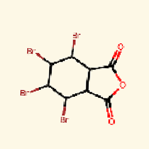 O=C1OC(=O)C2C(Br)C(Br)C(Br)C(Br)C12